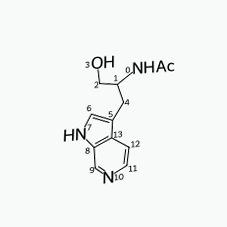 CC(=O)NC(CO)Cc1c[nH]c2cnccc12